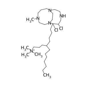 CCCCCCCC(CCCCC1(Cl)C(Cl)CNCCN2CCCN(C)CCN1CC2)CCC[N+](C)(C)C